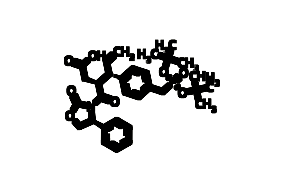 C=C[C@H](c1ccc(CP(=O)(OC(C)(C)C)OC(C)(C)C)cc1)[C@H](CC(=O)O)C(=O)N1C(=O)OC[C@@H]1c1ccccc1